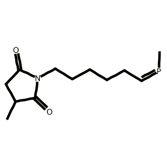 C/P=C\CCCCCN1C(=O)CC(C)C1=O